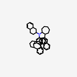 C1=CC2CCC(N(c3ccc4c(c3)C3C5CCCC3c3cccc-4c3-c3ccccc35)C3CCCCCC3c3ccc4ccccc4c3)CC2C=C1